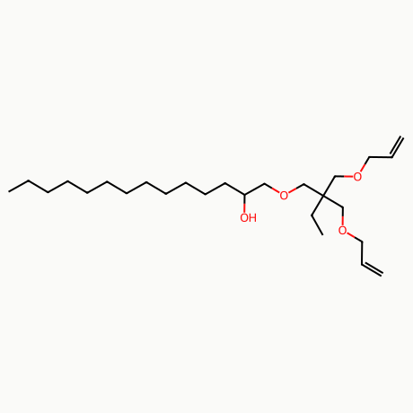 C=CCOCC(CC)(COCC=C)COCC(O)CCCCCCCCCCCC